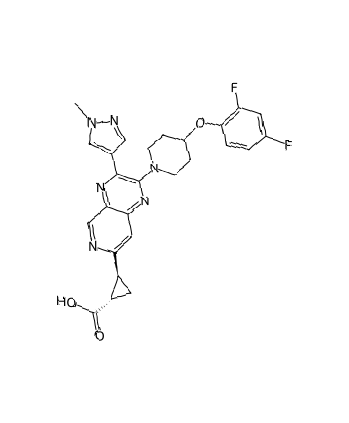 Cn1cc(-c2nc3cnc([C@H]4C[C@@H]4C(=O)O)cc3nc2N2CCC(Oc3ccc(F)cc3F)CC2)cn1